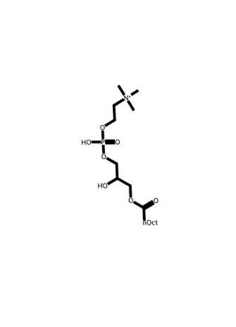 CCCCCCCCC(=O)OCC(O)COP(=O)(O)OCC[N+](C)(C)C